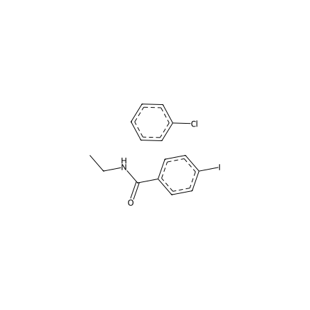 CCNC(=O)c1ccc(I)cc1.Clc1ccccc1